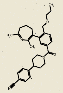 CCCOCc1ccc(C(=O)N2CCC(c3ccc(C#N)cc3)CC2)cc1C1=C(C)N=C(C)CCC1